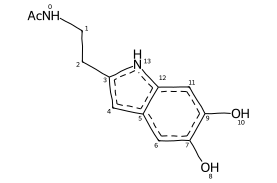 CC(=O)NCCc1cc2cc(O)c(O)cc2[nH]1